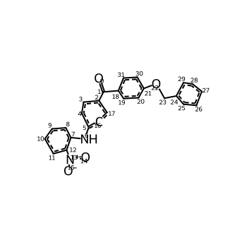 O=C(c1ccc(Nc2ccccc2[N+](=O)[O-])cc1)c1ccc(OCc2ccccc2)cc1